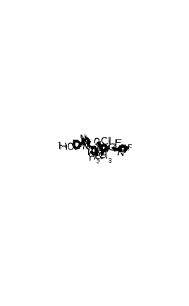 Cc1cnc(-c2ccnc(C3CCC(O)CC3)n2)cc1-n1c(C)cc(OCc2ncc(F)cc2F)c(Cl)c1=O